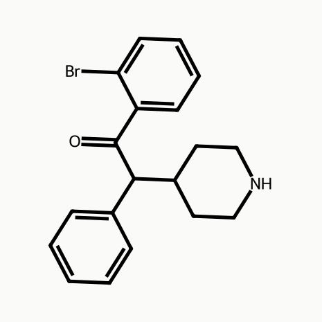 O=C(c1ccccc1Br)C(c1ccccc1)C1CCNCC1